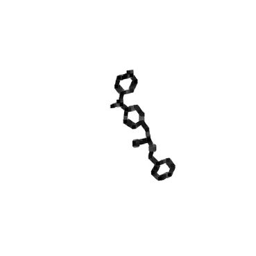 CN(c1ccncc1)c1ccc(CC(=O)OCc2ccccc2)cc1